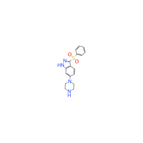 O=S(=O)(c1ccccc1)c1n[nH]c2cc(N3CCNCC3)ccc12